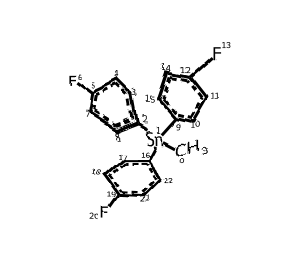 [CH3][Sn]([c]1ccc(F)cc1)([c]1ccc(F)cc1)[c]1ccc(F)cc1